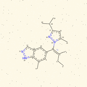 CC/C(C)=C(\c1cc(C)c2[nH]ncc2c1)n1nc(C(C)C)cc1C